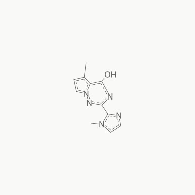 Cc1ccn2nc(-c3nccn3C)nc(O)c12